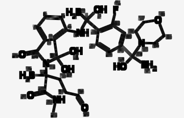 BC(O)(Nc1cccc2c1C(O)(O)N(C(B)(CCC=O)C(=O)NC)C2=O)c1ccc(C(B)(O)N2CCOCC2)cc1F